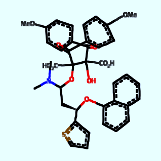 COc1ccc(C(=O)C(O)(C(=O)O)C(OC(C[C@@H](Oc2cccc3ccccc23)c2cccs2)N(C)C)(C(=O)O)C(=O)c2ccc(OC)cc2)cc1